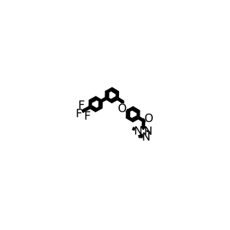 Cn1cnnc1C(=O)c1ccc(OCc2cccc(-c3ccc(C(F)(F)F)cc3)c2)cc1